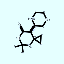 CC1(C)OC(=O)/C(=C2/COCCN2)C2(CC2)O1